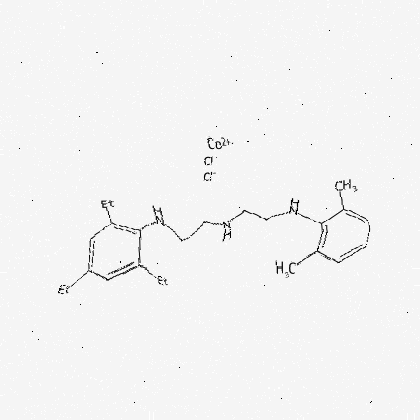 CCc1cc(CC)c(NCCNCCNc2c(C)cccc2C)c(CC)c1.[Cl-].[Cl-].[Co+2]